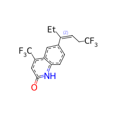 CC/C(=C/CC(F)(F)F)c1ccc2[nH]c(=O)cc(C(F)(F)F)c2c1